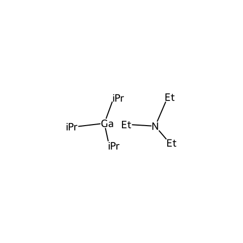 CCN(CC)CC.C[CH](C)[Ga]([CH](C)C)[CH](C)C